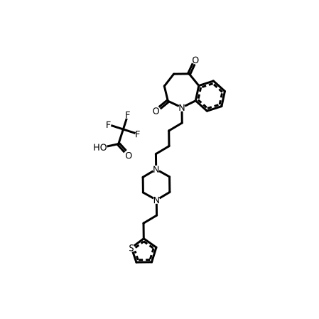 O=C(O)C(F)(F)F.O=C1CCC(=O)N(CCCCN2CCN(CCc3cccs3)CC2)c2ccccc21